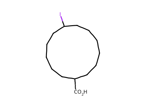 O=C(O)C1CCCCCCC(I)CCCCC1